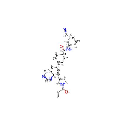 C=CC(=O)N1CCC(c2cc(-c3ccc(C(=O)Nc4cccc(C#N)c4)cc3)cc3cncnc23)C1